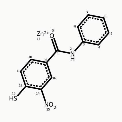 O=C(Nc1ccccc1)c1ccc(S)c([N+](=O)[O-])c1.[Zn+2]